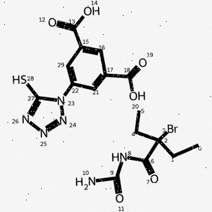 CCC(Br)(CC)C(=O)NC(N)=O.O=C(O)c1cc(C(=O)O)cc(-n2nnnc2S)c1